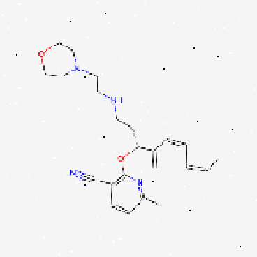 C=C(/C=C\C=C/C)[C@@H](CCNCCN1CCOCC1)Oc1nc(C)ccc1C#N